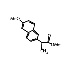 COc1ccc2cc([C@H](C)C(=O)O[14CH3])ccc2c1